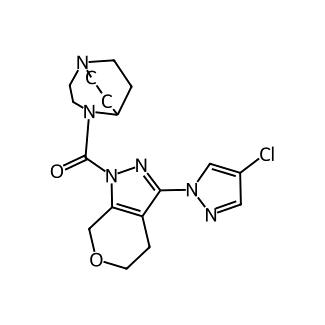 O=C(N1CCN2CCC1CC2)n1nc(-n2cc(Cl)cn2)c2c1COCC2